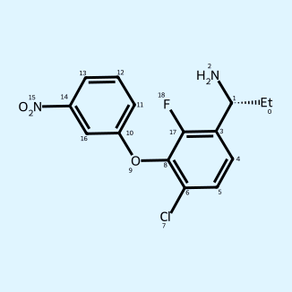 CC[C@@H](N)c1ccc(Cl)c(Oc2cccc([N+](=O)[O-])c2)c1F